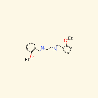 CCOc1ccccc1C=NCCN=Cc1ccccc1OCC